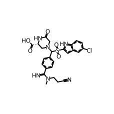 CN(CCC#N)C(=N)c1ccc(C(N2CC(=O)N[C@@H](C(=O)O)C2)S(=O)(=O)c2cc3cc(Cl)ccc3[nH]2)cc1